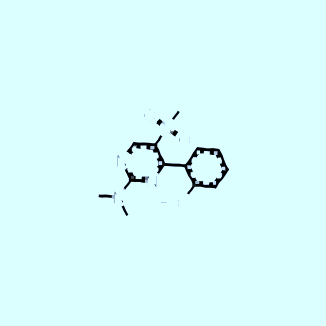 CN(C)c1ncc(S(C)(=O)=O)c(-c2ccccc2C(F)(F)F)n1